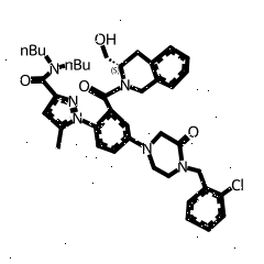 CCCCN(CCCC)C(=O)c1cc(C)n(-c2ccc(N3CCN(Cc4ccccc4Cl)C(=O)C3)cc2C(=O)N2Cc3ccccc3C[C@H]2CO)n1